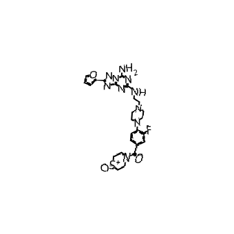 Nc1nc(NCCN2CCN(c3ccc(C(=O)N4CC[S+]([O-])CC4)cc3F)CC2)nc2nc(-c3ccco3)nn12